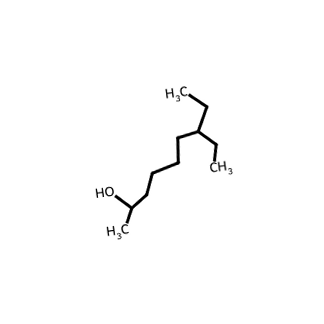 CCC(CC)CCCCC(C)O